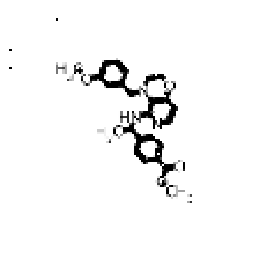 COC(=O)c1ccc(C(C)Nc2nccc3c2N(Cc2cccc(OC)c2)CCO3)cc1